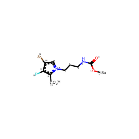 CC(C)(C)OC(=O)NCCCn1cc(Br)c(F)c1C(=O)O